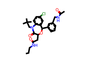 CCCNC(=O)CC1OC(c2cccc(CNC(C)=O)c2)c2cc(Cl)ccc2N(CC(C)(C)C)C1=O